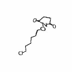 O=C1CCC(=O)N1OCCCCCCCl